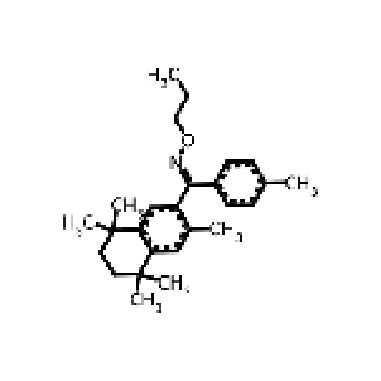 CCCO/N=C(\c1ccc(C)cc1)c1cc2c(cc1C)C(C)(C)CCC2(C)C